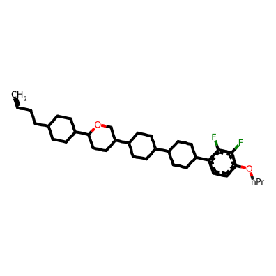 C=CCCC1CCC(C2CCC(C3CCC(C4CCC(c5ccc(OCCC)c(F)c5F)CC4)CC3)CO2)CC1